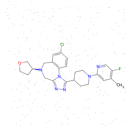 Cc1cc(N2CCC(c3nnc4n3-c3ccc(Cl)cc3CN([C@H]3CCOC3)C4)CC2)ncc1F